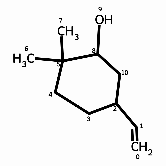 C=CC1CCC(C)(C)C(O)C1